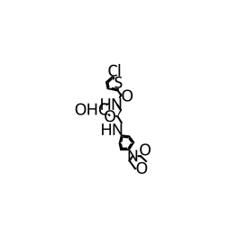 O=CO[C@@H](CNC(=O)c1ccc(Cl)s1)CNc1ccc(N2CCOCC2=O)cc1